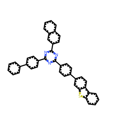 c1ccc(-c2ccc(-c3nc(-c4ccc(-c5ccc6c(c5)sc5ccccc56)cc4)nc(-c4ccc5ccccc5c4)n3)cc2)cc1